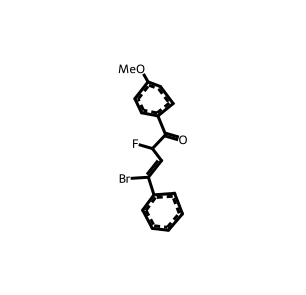 COc1ccc(C(=O)C(F)C=C(Br)c2ccccc2)cc1